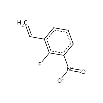 C=[C]c1cccc([N+](=O)[O-])c1F